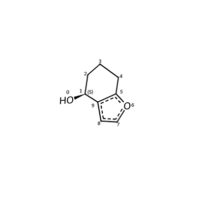 O[C@H]1CCCc2occc21